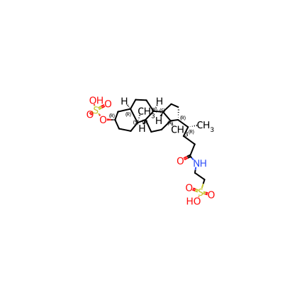 C[C@H](CCC(=O)NCCS(=O)(=O)O)[C@H]1CC[C@H]2[C@@H]3CC[C@@H]4C[C@H](OS(=O)(=O)O)CC[C@]4(C)[C@H]3CC[C@]12C